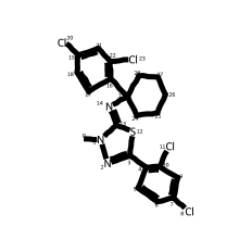 Cn1nc(-c2ccc(Cl)cc2Cl)sc1=NC1(c2ccc(Cl)cc2Cl)CCCCC1